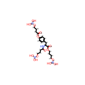 O=C(CCCON(O)O)NC(Cc1ccc(OC(=O)CCCON(O)O)cc1)C(=O)OCCCCON(O)O